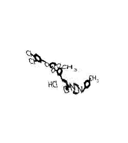 Cc1ccc(CN2CCN(C(=O)C=Cc3cc(C)c(Oc4ccc(OCc5ccc(Cl)c(Cl)c5)cn4)c(Cl)c3)CC2)cc1.Cl